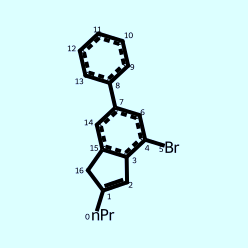 CCCC1=Cc2c(Br)cc(-c3ccccc3)cc2C1